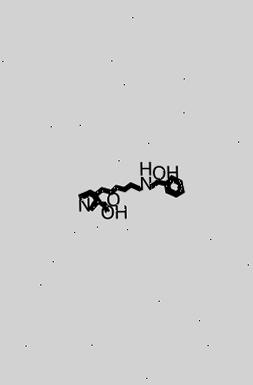 O=C(O)c1cnccc1CCCCCCNCC(O)c1ccccc1